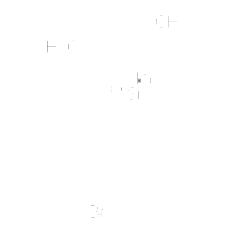 CCCCO[SiH](CCCCc1cccc(Br)c1)OCCCC